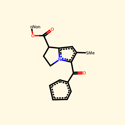 CCCCCCCCCOC(=O)C1CCn2c1cc(SC)c2C(=O)c1ccccc1